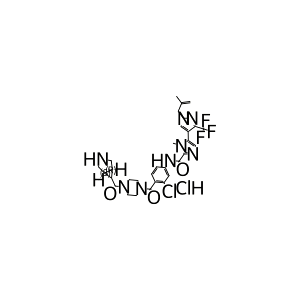 C=C(C)Cn1cc(-c2cnc(C(=O)Nc3ccc(C(=O)N4CCN(C(=O)C5[C@H]6CNC[C@@H]56)CC4)c(Cl)c3)n2C)c(C(F)(F)F)n1.Cl